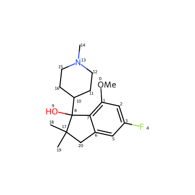 COc1cc(F)cc2c1C(O)(C1CCN(C)CC1)C(C)(C)C2